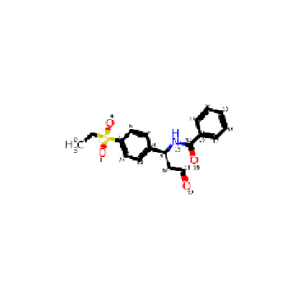 CCS(=O)(=O)c1ccc([C@H](CC=O)NC(=O)c2ccccc2)cc1